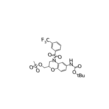 CC(C)(C)OC(=O)Nc1ccc2c(c1)N(S(=O)(=O)c1cccc(C(F)(F)F)c1)CC(COS(C)(=O)=O)O2